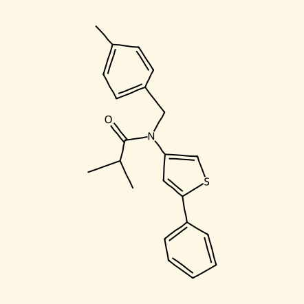 Cc1ccc(CN(C(=O)C(C)C)c2csc(-c3ccccc3)c2)cc1